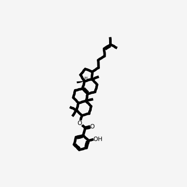 CC(C)=CCCCC1CC[C@@]2(C)C3=C(CCC12C)C1(C)CCC(OC(=O)c2ccccc2O)C(C)(C)C1CC3